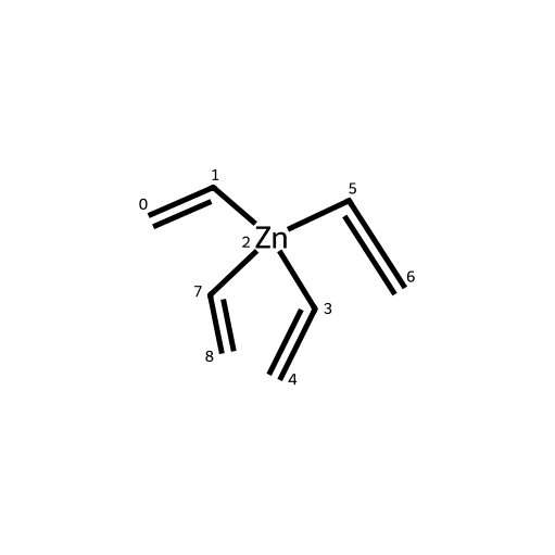 C=[CH][Zn]([CH]=C)([CH]=C)[CH]=C